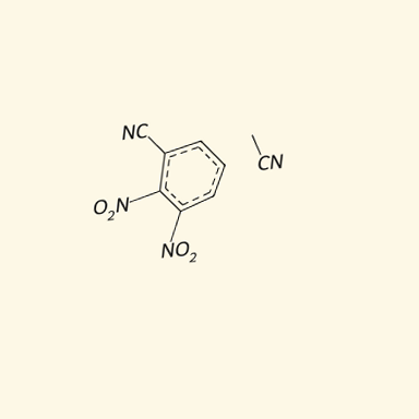 CC#N.N#Cc1cccc([N+](=O)[O-])c1[N+](=O)[O-]